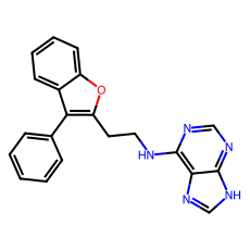 c1ccc(-c2c(CCNc3ncnc4[nH]cnc34)oc3ccccc23)cc1